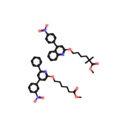 COC(=O)C(C)(C)CCCCOc1cc(-c2ccc([N+](=O)[O-])cc2)c2ccccc2n1.COC(=O)CCCCCOc1cc(-c2cccc([N+](=O)[O-])c2)cc(-c2ccccc2)n1